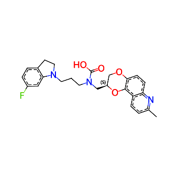 Cc1ccc2c3c(ccc2n1)OC[C@H](CN(CCCN1CCc2ccc(F)cc21)C(=O)O)O3